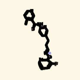 Cc1ccncc1C(=O)Nc1ccc(CC/C=N/Oc2ncccc2F)cn1